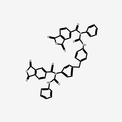 O=C1OC(=O)c2cc(C(=O)N(C(=O)Nc3ccc(Cc4ccc(N(C(=O)Nc5ccccc5)C(=O)c5ccc6c(c5)C(=O)OC6=O)cc4)cc3)c3ccccc3)ccc21